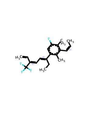 C=C/C(=C\C=C(/CC)c1cc(F)c(C)c(/C=C\C)c1C)C(F)(F)F